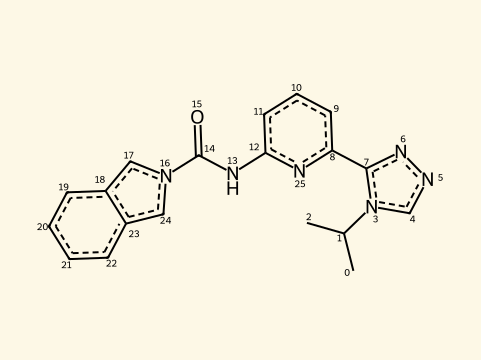 CC(C)n1cnnc1-c1cccc(NC(=O)n2cc3ccccc3c2)n1